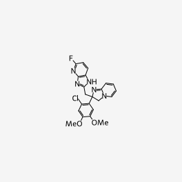 COc1cc(Cl)c(C2(Cc3nc4nc(F)ccc4[nH]3)CN3C=CC=CC3=N2)cc1OC